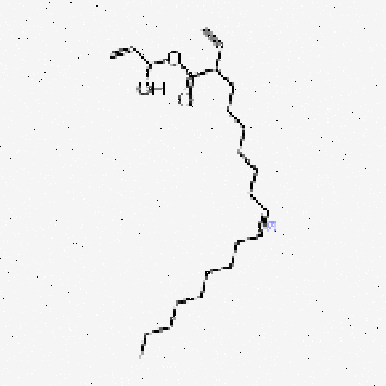 C=CC(O)OC(=O)C(C=C)CCCCCC/C=C\CCCCCCCC